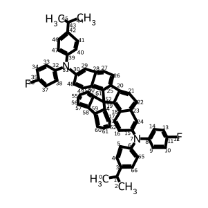 CC(C)c1ccc(N(c2ccc(F)cc2)c2ccc3c4c(ccc3c2)-c2ccc3cc(N(c5ccc(F)cc5)c5ccc(C(C)C)cc5)ccc3c2C42c3ccccc3-c3ccccc32)cc1